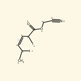 CC(I)/C=C\C(I)C(=O)OCC#N